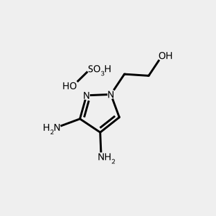 Nc1cn(CCO)nc1N.O=S(=O)(O)O